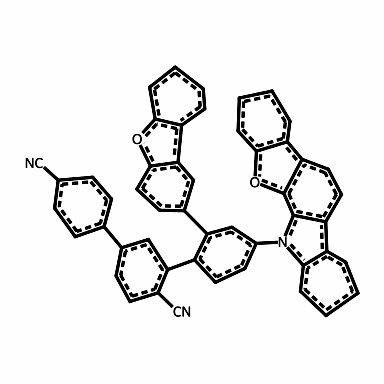 N#Cc1ccc(-c2ccc(C#N)c(-c3ccc(-n4c5ccccc5c5ccc6c7ccccc7oc6c54)cc3-c3ccc4oc5ccccc5c4c3)c2)cc1